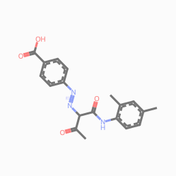 CC(=O)C(/N=N/c1ccc(C(=O)O)cc1)C(=O)Nc1ccc(C)cc1C